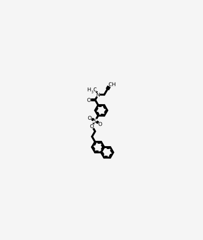 C#CCN(C)C(=O)c1cccc(S(=O)(=O)OCCc2ccc3ccccc3c2)c1